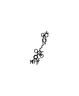 CC1=C(CCCCN2CCN(C(=O)OC(C)(C)C)CC2)C(=O)N(c2ccc(C#N)c(C(F)(F)F)c2)C1=O